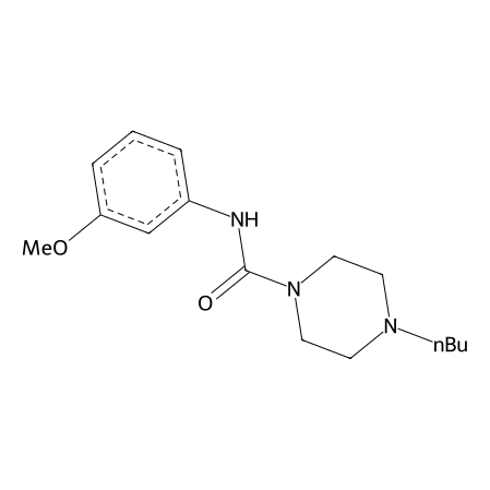 CCCCN1CCN(C(=O)Nc2cccc(OC)c2)CC1